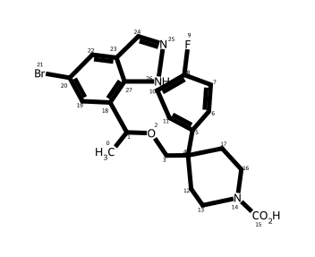 CC(OCC1(c2ccc(F)cc2)CCN(C(=O)O)CC1)c1cc(Br)cc2cn[nH]c12